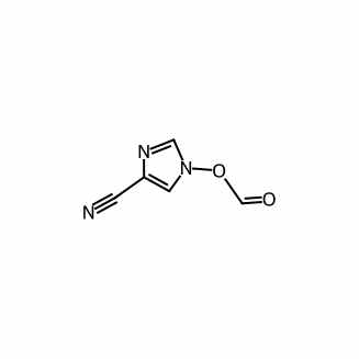 N#Cc1cn(OC=O)cn1